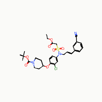 CCOC(=O)CS(=O)(=O)N(C/C=C/c1cccc(C#N)c1)c1ccc(OC2CCN(C(=O)OC(C)(C)C)CC2)c(Cl)c1